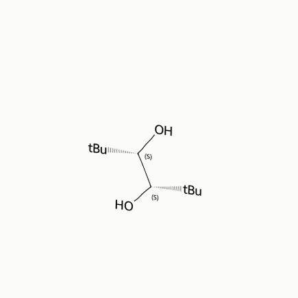 CC(C)(C)[C@H](O)[C@@H](O)C(C)(C)C